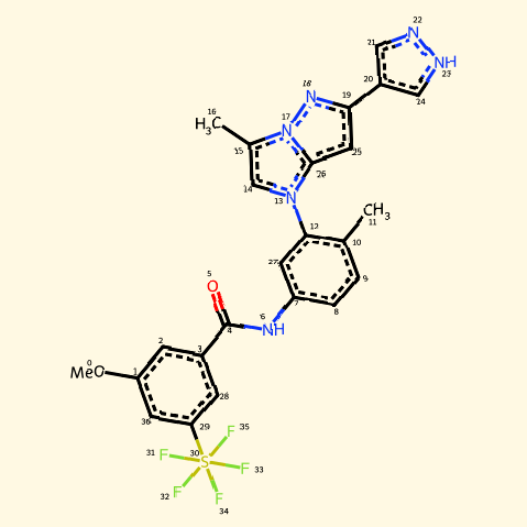 COc1cc(C(=O)Nc2ccc(C)c(-n3cc(C)n4nc(-c5cn[nH]c5)cc34)c2)cc(S(F)(F)(F)(F)F)c1